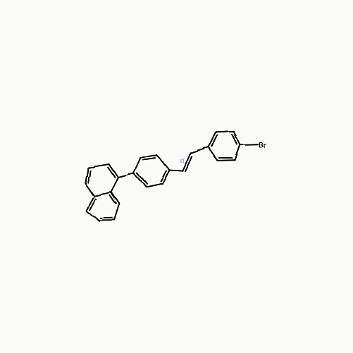 Brc1ccc(/C=C/c2ccc(-c3cccc4ccccc34)cc2)cc1